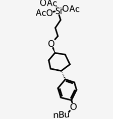 CCCCOc1ccc([C@H]2CC[C@H](OCCC[Si](OC(C)=O)(OC(C)=O)OC(C)=O)CC2)cc1